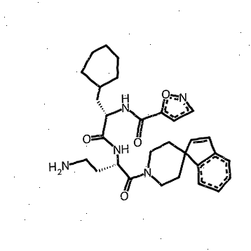 NCC[C@H](NC(=O)[C@H](CC1CCCCC1)NC(=O)c1ccno1)C(=O)N1CCC2(C=Cc3ccccc32)CC1